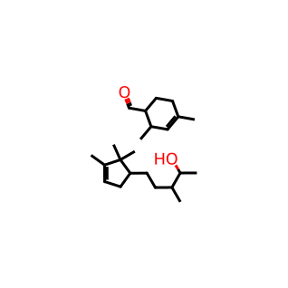 CC1=CC(C)C(C=O)CC1.CC1=CCC(CCC(C)C(C)O)C1(C)C